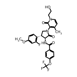 COc1ccc([C@@H]2CN(c3c(C)ccn(CCO)c3=O)C(=O)[C@H]2NC(=O)c2ccc(OC(F)(F)F)cc2)c(F)c1